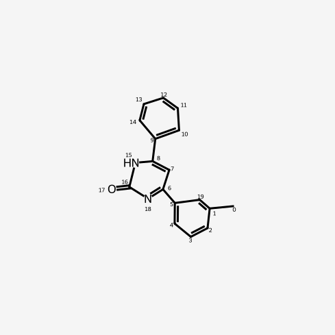 Cc1cccc(-c2cc(-c3ccccc3)[nH]c(=O)n2)c1